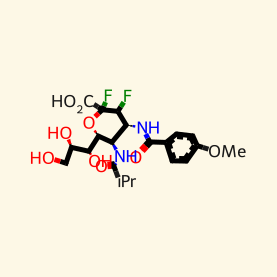 COc1ccc(C(=O)N[C@H]2C(F)C(F)(C(=O)O)O[C@@H]([C@H](O)[C@H](O)CO)[C@@H]2NC(=O)C(C)C)cc1